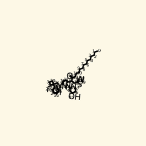 CCCCCCCCCCCCCC(=O)C(c1ccc(NCC2(c3ncccc3F)CCC2)nn1)C(c1cncs1)N1CCC(O)CC1